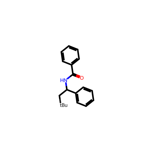 CC(C)(C)CC(NC(=O)c1ccccc1)c1ccccc1